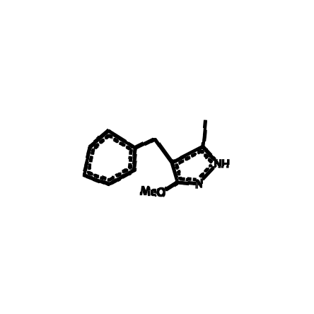 COc1n[nH]c(C)c1Cc1ccccc1